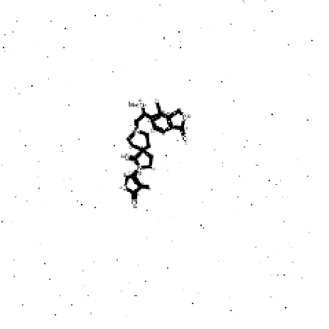 COC(CN1CCC2(CC1)CCN(C1=C(C)C(=O)OC1)C2=O)c1ccc2c(c1C)COC2=O